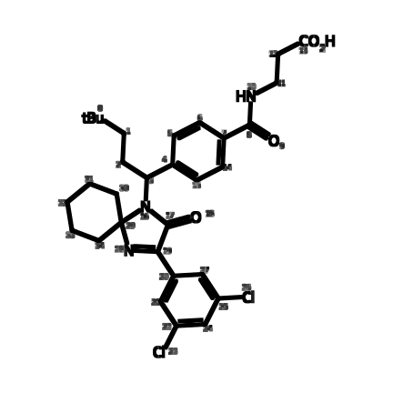 CC(C)(C)CCC(c1ccc(C(=O)NCCC(=O)O)cc1)N1C(=O)C(c2cc(Cl)cc(Cl)c2)=NC12CCCCC2